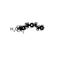 CCOC(=O)C(C)(C)n1cc2ccc(-c3noc(C4CCN(C(=O)CNC(=O)c5ccccc5)CC4)n3)cc2n1